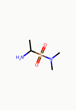 CC(N)S(=O)(=O)N(C)C